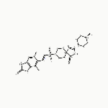 Cc1cc2[nH]c(=O)oc2c(C)c1/C=C/S(=O)(=O)N1CCC2(CC1)N=C([C@H]1CC[C@H](C)CC1)NC2=O